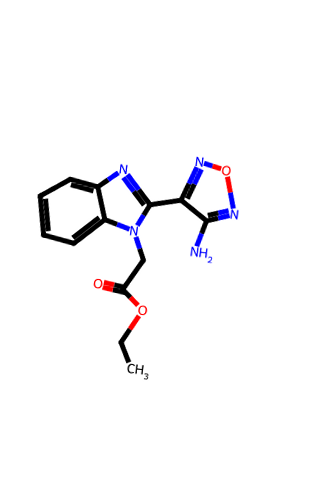 CCOC(=O)Cn1c(-c2nonc2N)nc2ccccc21